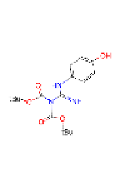 CC(C)(C)OC(=O)N(C(=N)Nc1ccc(O)cc1)C(=O)OC(C)(C)C